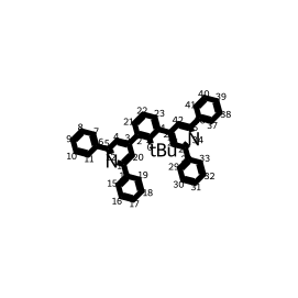 CC(C)(C)c1c(-c2cc(-c3ccccc3)nc(-c3ccccc3)c2)cccc1-c1cc(-c2ccccc2)nc(-c2ccccc2)c1